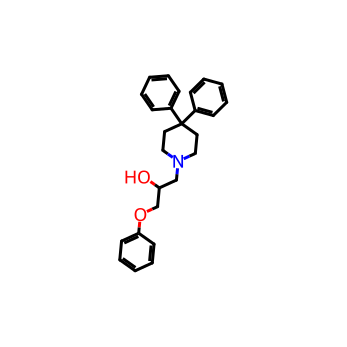 OC(COc1ccccc1)CN1CCC(c2ccccc2)(c2ccccc2)CC1